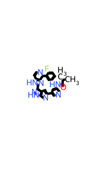 CC(C)C(=O)Nc1cncc(-c2cc3c(-c4nc5c(-c6ccccc6F)nccc5[nH]4)n[nH]c3cn2)c1